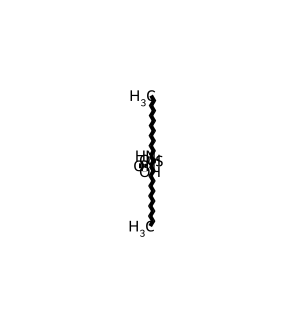 CCCCCCCCCCCCNC(=S)N(CCCCCCCCCCCC)P(=O)(O)O